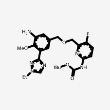 CCn1cnc(-c2cc(COCc3nc(NC(=O)OC(C)(C)C)ccc3F)cc(N)c2OC)n1